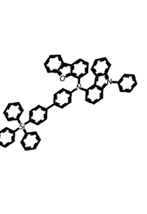 c1ccc(-n2c3ccccc3c3c(N(c4ccc(-c5ccc([Si](c6ccccc6)(c6ccccc6)c6ccccc6)cc5)cc4)c4cccc5c4oc4ccccc45)cccc32)cc1